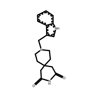 O=C1CC2(CCN(Cc3c[nH]c4ccccc34)CC2)CC(=O)N1